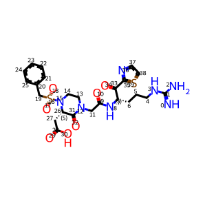 N=C(N)NCCC[C@H](NC(=O)CN1CCN(S(=O)(=O)Cc2ccccc2)[C@@H](CC(=O)O)C1=O)C(=O)c1nccs1